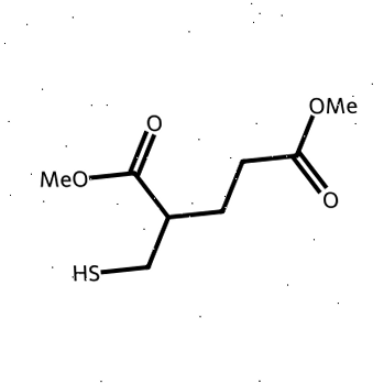 COC(=O)CCC(CS)C(=O)OC